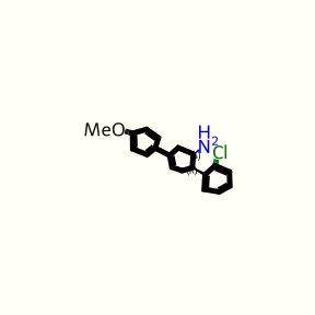 COc1ccc(C2=CC[C@H](c3ccccc3Cl)[C@@H](N)C2)cc1